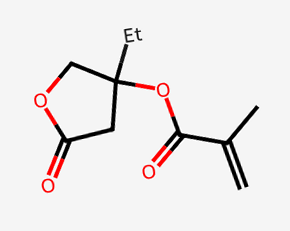 C=C(C)C(=O)OC1(CC)COC(=O)C1